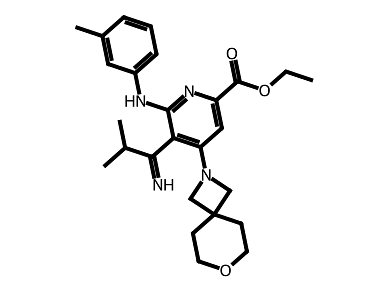 CCOC(=O)c1cc(N2CC3(CCOCC3)C2)c(C(=N)C(C)C)c(Nc2cccc(C)c2)n1